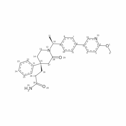 COc1ccc(-c2ccc([C@H](C)N3CC[C@@](CCC(N)=O)(c4ccccc4)CC3=O)cc2)cn1